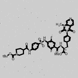 COC(=O)[C@H](CC1C=CC(n2c(=O)c3ccncc3n(C)c2=O)=CC1)NC(=O)c1cc(F)c(NS(=O)(=O)c2ccc(NC(=O)C3CCN(C(=O)OC(C)(C)C)CC3)cc2)cc1F